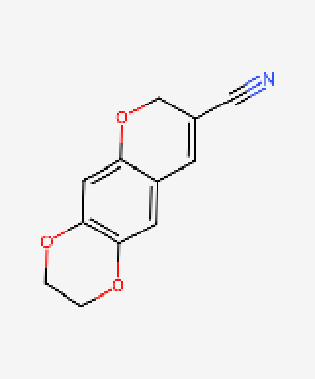 N#CC1=Cc2cc3c(cc2OC1)OCCO3